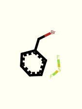 BrCc1ccccc1.FSF